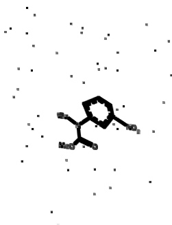 COC(=O)N(c1cccc([N+](=O)[O-])c1)C(C)(C)C